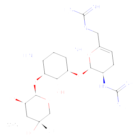 CN[C@@H]1[C@@H](O)[C@@H](O[C@@H]2[C@@H](O)[C@H](O[C@H]3OC(CNC(=N)N)=CC[C@H]3NC(=N)N)[C@@H](N)C[C@H]2N)OC[C@]1(C)O